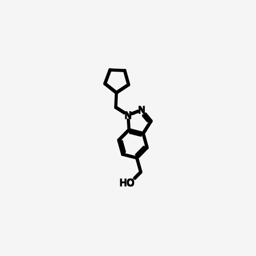 OCc1ccc2c(cnn2CC2CCCC2)c1